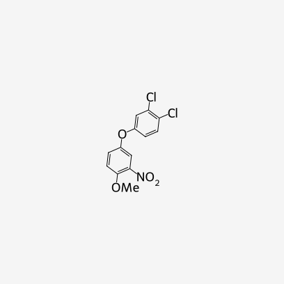 COc1ccc(Oc2ccc(Cl)c(Cl)c2)cc1[N+](=O)[O-]